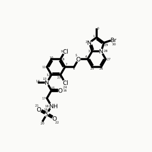 Cc1nc2c(OCc3c(Cl)ccc(N(C)C(=O)CNS(C)(=O)=O)c3Cl)cccn2c1Br